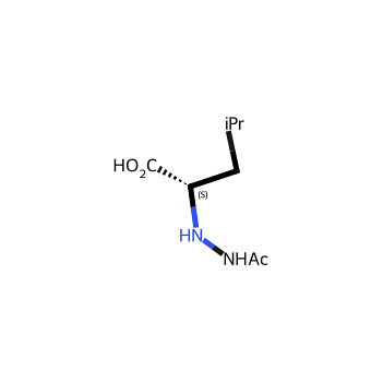 CC(=O)NN[C@@H](CC(C)C)C(=O)O